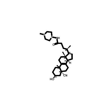 C[C@H](CCC(=O)NN1CCN(C)CC1)[C@H]1CC[C@H]2C3=C(CC[C@]12C)[C@@]1(C)CC[C@H](O)C[C@]1(C#N)CC3